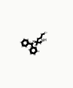 CC(C=N)(CCCF)N=C(c1ccccc1)c1ccccc1